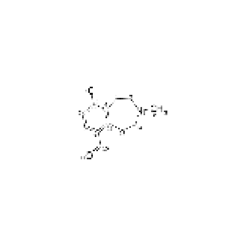 CN1CCc2c(Cl)ccc(C=O)c2CC1